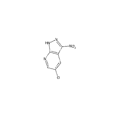 O=[N+]([O-])c1n[nH]c2ncc(Cl)cc12